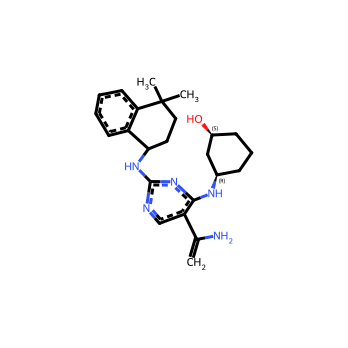 C=C(N)c1cnc(NC2CCC(C)(C)c3ccccc32)nc1N[C@@H]1CCC[C@H](O)C1